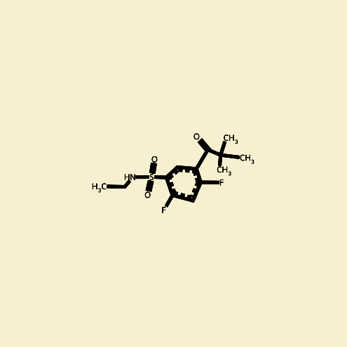 CCNS(=O)(=O)c1cc(C(=O)C(C)(C)C)c(F)cc1F